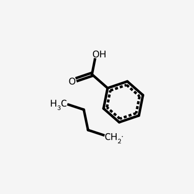 O=C(O)c1ccccc1.[CH2]CCC